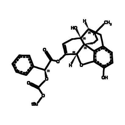 CN1CC[C@]23c4c5ccc(O)c4O[C@H]2C(OC(=O)[C@@H](OC(=O)OC(C)(C)C)c2ccccc2)=CC[C@@]3(O)[C@H]1C5